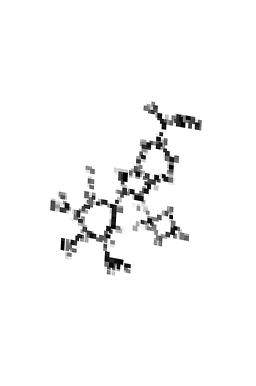 CNC(=O)c1ccc2c(c1)nc(-c1cc(OC)c(O)c(O)c1F)n2C1(C)COC1